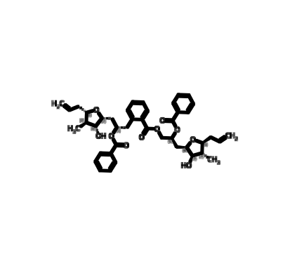 C=CC[C@@H]1O[C@H](C[C@@H](COC(=O)c2ccccc2C[C@@H](C[C@H]2O[C@@H](CC=C)[C@H](C)[C@H]2O)OC(=O)c2ccccc2)OC(=O)c2ccccc2)[C@H](O)[C@H]1C